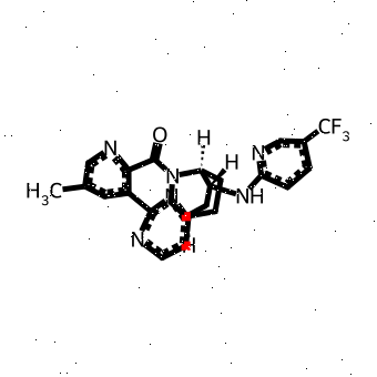 Cc1cnc(C(=O)N2C[C@@H]3CC[C@H]2[C@H](Nc2ccc(C(F)(F)F)cn2)C3)c(-c2ncccn2)c1